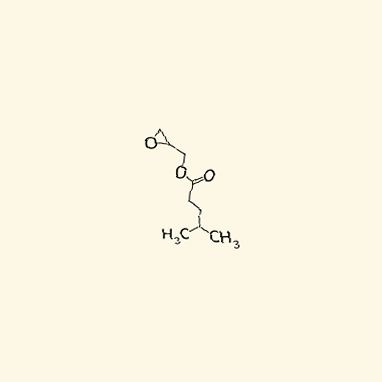 CC(C)CCC(=O)OCC1CO1